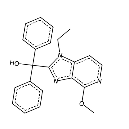 CCn1c(C(O)(c2ccccc2)c2ccccc2)nc2c(OC)nccc21